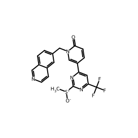 C[S+]([O-])c1nc(-c2ccc(=O)n(Cc3ccc4cnccc4c3)c2)cc(C(F)(F)F)n1